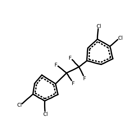 FC(F)(c1ccc(Cl)c(Cl)c1)C(F)(F)c1ccc(Cl)c(Cl)c1